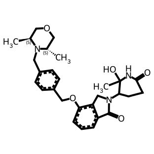 C[C@H]1COC[C@H](C)N1Cc1ccc(COc2cccc3c2CN(C2CCC(=O)NC2(C)O)C3=O)cc1